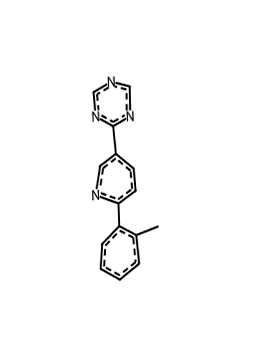 Cc1ccccc1-c1ccc(-c2ncncn2)cn1